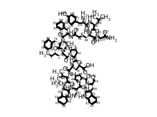 CCCC[C@@H](C(=O)N1CCC[C@@H]1C(=O)N[C@@H](CCC(=O)O)C(=O)N[C@H](C(=O)N(C)[C@@H](Cc1ccccc1)C(=O)N[C@@H](CN)C(=O)N1CCC[C@@H]1C(=O)N[C@H](C=O)Cc1c[nH]c2ccccc12)C(C)C)N(C)C(=O)[C@H](Cc1ccccc1)N(C)C(=O)[C@H](Cc1ccccc1)NC(=O)CSC[C@H](NC(=O)[C@H](CC(C)C)NC(=O)[C@@H](N)Cc1ccc(O)cc1)C(=O)NCC(N)=O